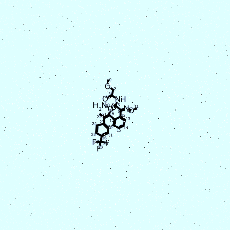 COCC(=O)NC(=O)/C(=N/OC)c1ccccc1/C(ON)=C(/C)c1ccc(C(F)(F)F)cc1